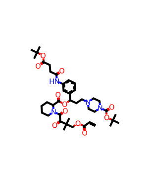 C=CC(=O)OCC(C)(C)C(=O)C(=O)N1CCCCC1C(=O)OC(CCN1CCN(C(=O)OC(C)(C)C)CC1)c1cccc(NC(=O)CCC(=O)OC(C)(C)C)c1